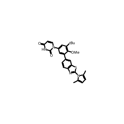 COc1c(-c2ccc3nc(-n4c(C)ccc4C)sc3c2)cc(-n2ccc(=O)[nH]c2=O)cc1C(C)(C)C